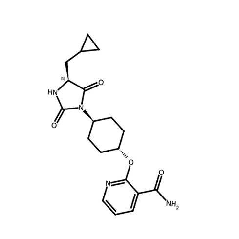 NC(=O)c1cccnc1O[C@H]1CC[C@H](N2C(=O)N[C@@H](CC3CC3)C2=O)CC1